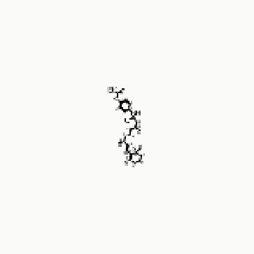 CCC(=O)Oc1ccc(NC(=O)C=C(C)C=CC=C(C)C=CC2=C(C)CCCC2(C)C)cc1